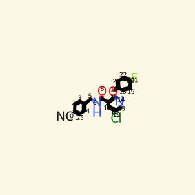 N#Cc1ccc(CNC(=O)c2cc(Cl)cnc2Oc2ccc(F)cc2)cc1